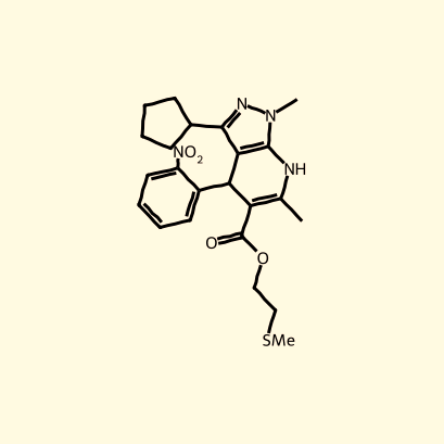 CSCCOC(=O)C1=C(C)Nc2c(c(C3CCCC3)nn2C)C1c1ccccc1[N+](=O)[O-]